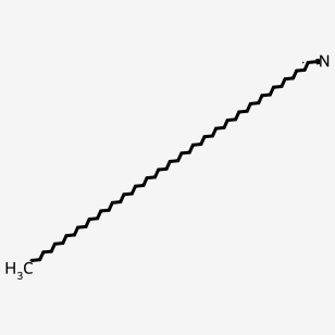 CCCCCCCCCCCCCCCCCCCCCCCCCCCCCCCCCCCCCCCCCCCCCCCCC[CH]C#N